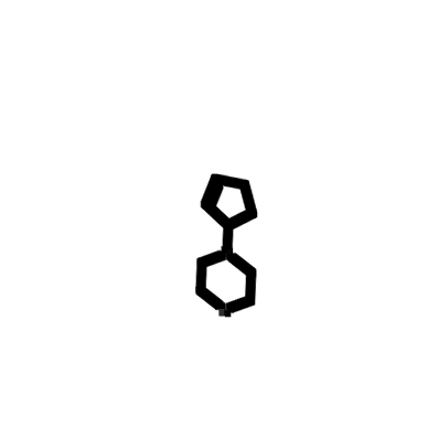 C1=CC(N2CC[N]CC2)CC1